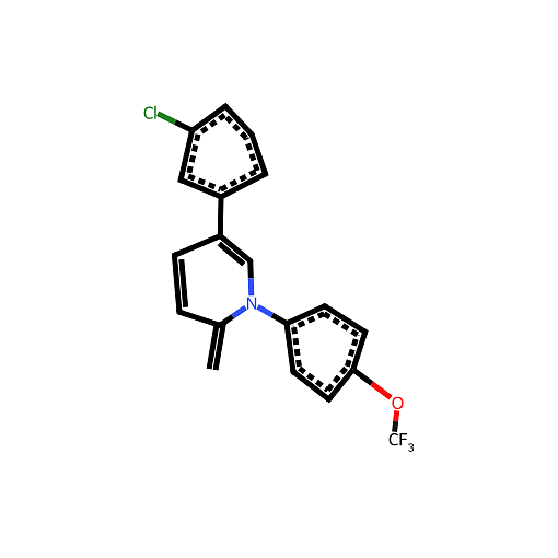 C=C1C=CC(c2cccc(Cl)c2)=CN1c1ccc(OC(F)(F)F)cc1